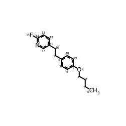 CCCCOc1ccc(CCc2ccc(F)nc2)cc1